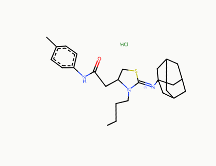 CCCCN1/C(=N/C23CC4CC(CC(C4)C2)C3)SCC1CC(=O)Nc1ccc(C)cc1.Cl